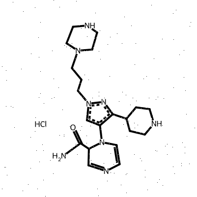 Cl.NC(=O)C1C=NC=CN1c1cn(CCCN2CCNCC2)nc1C1CCNCC1